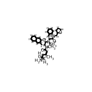 CC(=CC(=O)N(C)[C@H](Cc1ccc2ccccc2c1)C(=O)N(C)[C@H](Cc1ccccc1)C(=O)NCC1CCCO1)CC(C)(C)N